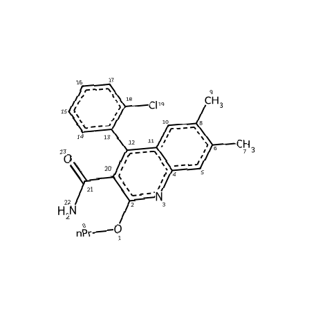 CCCOc1nc2cc(C)c(C)cc2c(-c2ccccc2Cl)c1C(N)=O